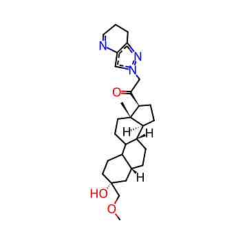 COC[C@@]1(O)CCC2C3CC[C@]4(C)[C@@H](C(=O)Cn5cc6c(n5)CCC=N6)CC[C@H]4[C@@H]3CC[C@@H]2C1